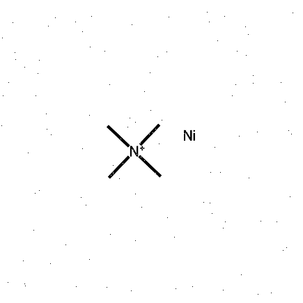 C[N+](C)(C)C.[Ni]